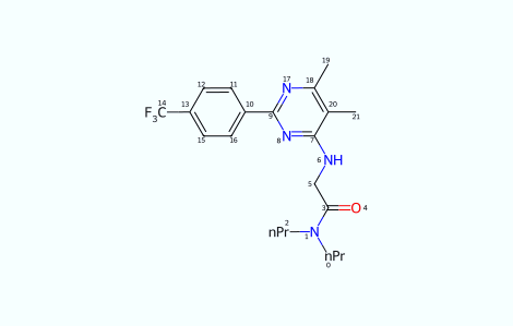 CCCN(CCC)C(=O)CNc1nc(-c2ccc(C(F)(F)F)cc2)nc(C)c1C